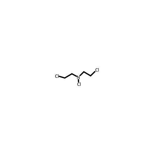 ClCCN(Cl)CCCl